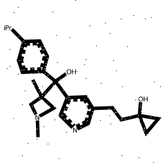 CC(C)c1ccc(C(O)(c2cncc(CCC3(O)CC3)c2)C2(C)CN(C)C2)cc1